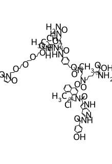 Cc1cccc2c(OC(=O)N(CCCC[C@H](N)C(=O)O)CCN(C)C(=O)OCc3ccc(NC(=O)[C@H](CCCNC(N)=O)NC(=O)[C@@H](NC(=O)OCCOCCOCCOCCN4C(=O)C=CC4=O)C(C)C)cc3)cc3c(c12)[C@H](CCl)CN3C(=O)c1cc2cc(NC(=O)c3ccc(O)cc3)ncc2[nH]1